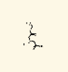 CCOC(=O)CN(C)CC(C)=O